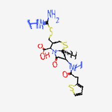 N=C(N)SCC1=CS[C@@H]2C(NC(=O)Cc3cccs3)C(=O)N2C1C(=O)O